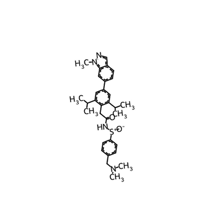 CC(C)c1cc(-c2ccc3cnn(C)c3c2)cc(C(C)C)c1CC(=O)N[S+]([O-])c1ccc(CN(C)C)cc1